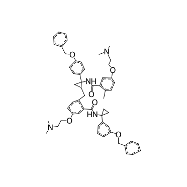 Cc1ccc(OCCN(C)C)cc1C(=O)NC1(c2ccc(OCc3ccccc3)cc2)CC1Cc1ccc(OCCN(C)C)cc1C(=O)NC1(c2cccc(OCc3ccccc3)c2)CC1